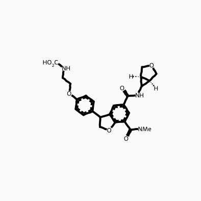 CNC(=O)c1cc(C(=O)NC2[C@H]3COC[C@@H]23)cc2c1OCC2c1ccc(OCCNC(=O)O)cc1